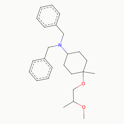 COC(C)COC1(C)CCC(N(Cc2ccccc2)Cc2ccccc2)CC1